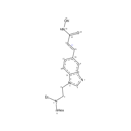 CCCCCCN(CC)CCn1cnc2cc(/C=C/C(=O)NO)ccc21